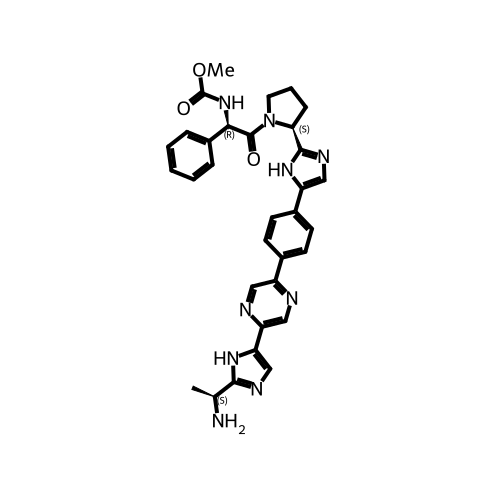 COC(=O)N[C@@H](C(=O)N1CCC[C@H]1c1ncc(-c2ccc(-c3cnc(-c4cnc([C@H](C)N)[nH]4)cn3)cc2)[nH]1)c1ccccc1